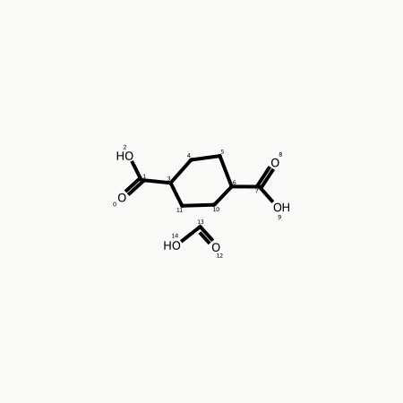 O=C(O)C1CCC(C(=O)O)CC1.O=CO